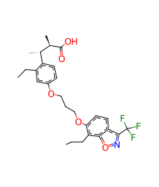 CCCc1c(OCCCOc2ccc([C@H](C)[C@@H](C)C(=O)O)c(CC)c2)ccc2c(C(F)(F)F)noc12